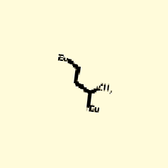 [CH2]C(CC)CCC(C)CCCC